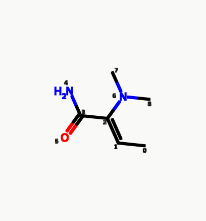 CC=C(C(N)=O)N(C)C